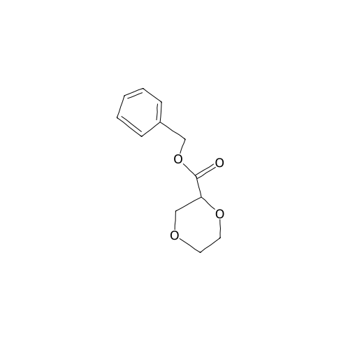 O=C(OCc1ccccc1)C1COCCO1